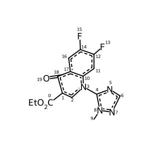 CCOC(=O)c1cn(-c2ncnn2C)c2cc(F)c(F)cc2c1=O